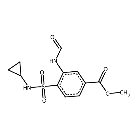 COC(=O)c1ccc(S(=O)(=O)NC2CC2)c(NC=O)c1